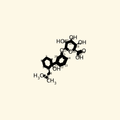 CN(C)C[C@H]1CCCC[C@]1(O)c1cccc(O[C@@H]2O[C@H](C(=O)O)[C@@H](O)[C@H](O)[C@H]2O)c1